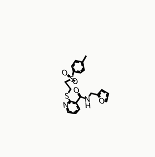 Cc1ccc(S(=O)(=O)CCSc2ncccc2C(=O)NCc2ccco2)cc1